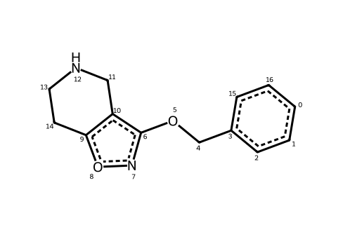 c1ccc(COc2noc3c2CNCC3)cc1